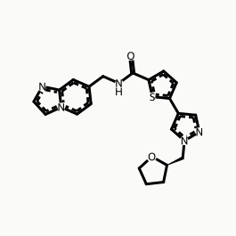 O=C(NCc1ccn2ccnc2c1)c1ccc(-c2cnn(C[C@H]3CCCO3)c2)s1